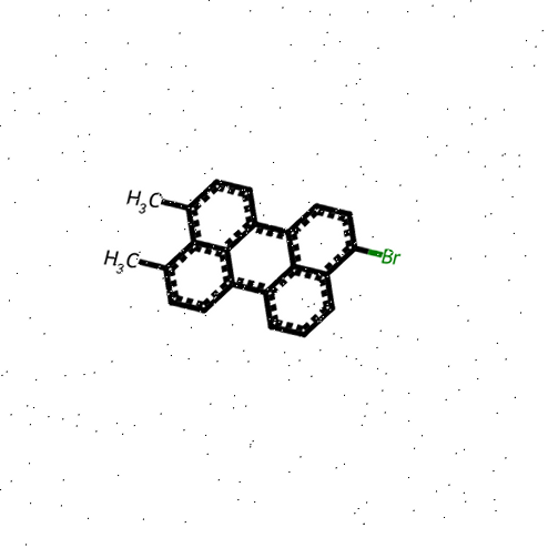 Cc1ccc2c3cccc4c(Br)ccc(c5ccc(C)c1c25)c43